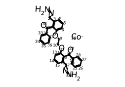 NN=Cc1cccc(OCCOc2cccc(C=NN)c2C(=O)c2ccccc2)c1C(=O)c1ccccc1.[Co]